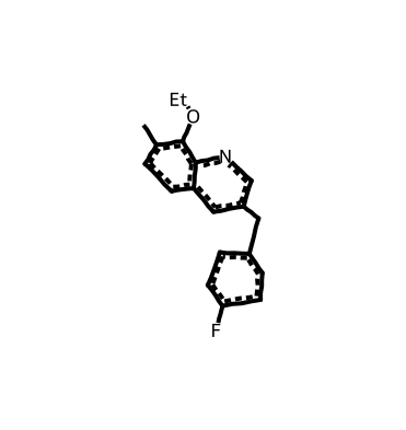 CCOc1c(C)ccc2cc(Cc3ccc(F)cc3)cnc12